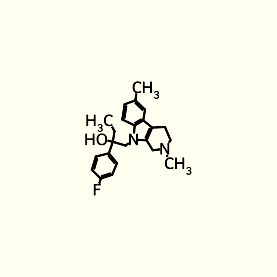 CCC(O)(Cn1c2c(c3cc(C)ccc31)CCN(C)C2)c1ccc(F)cc1